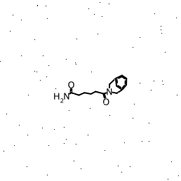 NC(=O)CCCCC(=O)N1Cc2cccc(c2)C1